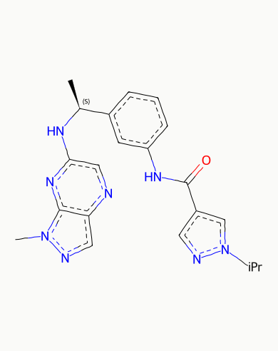 CC(C)n1cc(C(=O)Nc2cccc([C@H](C)Nc3cnc4cnn(C)c4n3)c2)cn1